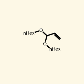 C=CC(OCCCCCC)OCCCCCC